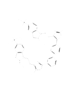 Cc1nc(CCN2c3ccc(C(O)(C(F)(F)F)C(F)(F)F)cc3CC2C)c(-c2ccccc2)o1.Cc1oc(-c2ccccc2)nc1CCN1c2ccc(C(O)(C(F)(F)F)C(F)(F)F)cc2CC1C